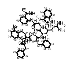 N=C(N)NCCC[C@H](NC(=O)[C@@H](Cc1ccccc1)NC(=O)C1(NC(=O)Cc2ccccc2)CCc2c(Br)cccc2C1)C(=O)N[C@@H](Cc1c[nH]c2ccccc12)C(=O)Nc1ccccc1C(N)=O